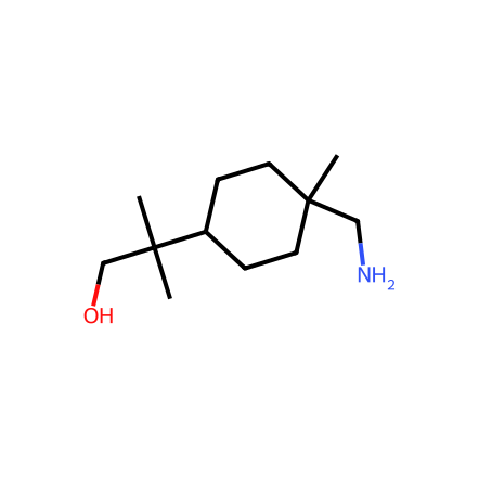 CC1(CN)CCC(C(C)(C)CO)CC1